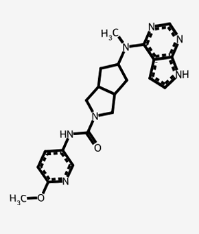 COc1ccc(NC(=O)N2CC3CC(N(C)c4ncnc5[nH]ccc45)CC3C2)cn1